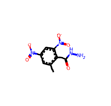 Cc1cc([N+](=O)[O-])cc([N+](=O)[O-])c1C(=O)NN